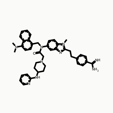 CN(C)c1ccc(CN(C(=O)CN2CCC(Nc3ccccn3)CC2)c2ccc3c(c2)nc(CCc2ccc(C(=N)N)cc2)n3C)c2ccccc12